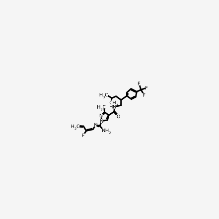 C=C/C(F)=C\N=C(/N)n1cc(C(=O)NCC(CC(C)C)c2ccc(C(F)(F)F)cc2)c(C)n1